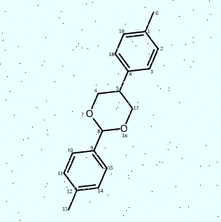 Cc1ccc(C2COC(c3ccc(C)cc3)OC2)cc1